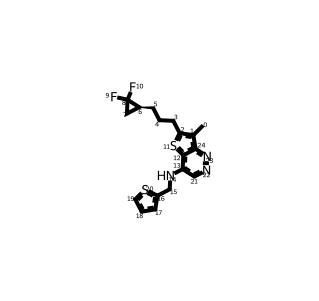 Cc1c(CCC[C@H]2CC2(F)F)sc2c(NCc3cccs3)cnnc12